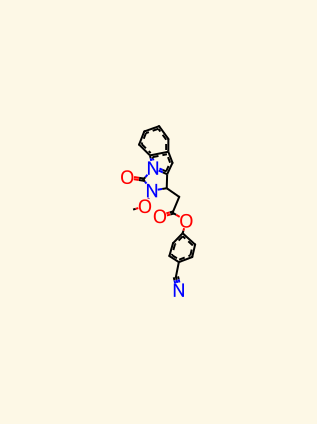 CON1C(=O)n2c(cc3ccccc32)C1CC(=O)Oc1ccc(C#N)cc1